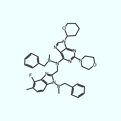 CB(Cc1ccccc1)N(Cc1nc2c(F)c(C)ccc2n1B(C)Cc1ccccc1)c1nc(N2CCOCC2)nc2c1ncn2C1CCCCO1